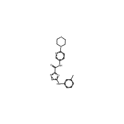 Cc1cccc(Nc2nnc(C(=O)Nc3ccc(N4CCSCC4)nc3)o2)c1